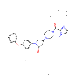 Cn1ccnc1C(=O)N1CCN(C2CC(=O)N(c3ccc(Oc4ccccc4)cc3)C2)CC1